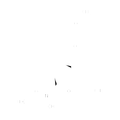 COCOc1ccc(C)cc1[C@@H]1CCC[C@@H]1C(=O)N(C)OC